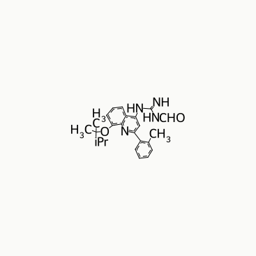 Cc1ccccc1-c1cc(NC(=N)NC=O)c2cccc(OC(C)(C)C(C)C)c2n1